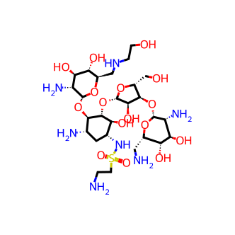 NCCS(=O)(=O)N[C@@H]1C[C@H](N)[C@@H](O[C@H]2O[C@H](CNCCO)[C@@H](O)[C@H](O)[C@H]2N)[C@H](O[C@@H]2O[C@H](CO)[C@@H](O[C@H]3O[C@@H](CN)[C@@H](O)[C@H](O)[C@H]3N)[C@H]2O)[C@H]1O